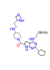 CC(=O)NCCNc1nc(-c2ccccc2)nc2[nH]c(C(=O)N3CCC(NCCc4cnc[nH]4)CC3)cc12